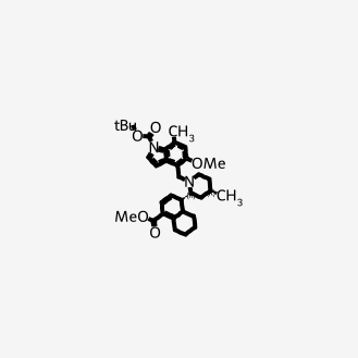 COC(=O)C1=C2CCCCC2C([C@H]2C[C@H](C)CCN2Cc2c(OC)cc(C)c3c2ccn3C(=O)OC(C)(C)C)C=C1